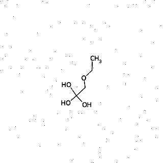 CCOCC(O)(O)O